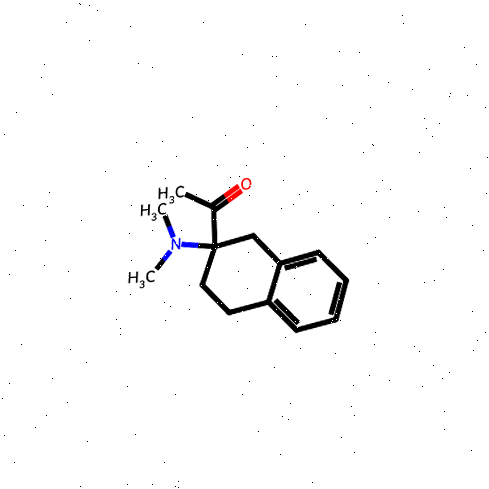 CC(=O)C1(N(C)C)CCc2ccccc2C1